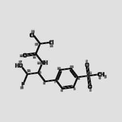 CS(=O)(=O)c1ccc(CC(NC(=O)C(Cl)Cl)C(O)F)cc1